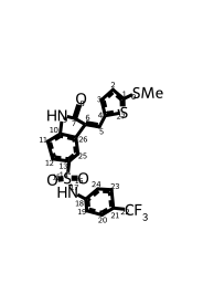 CSc1ccc(C=C2C(=O)Nc3ccc(S(=O)(=O)Nc4ccc(C(F)(F)F)cc4)cc32)s1